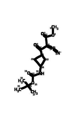 COC(=O)C(=[N+]=[N-])C(=O)C1CC(NC(=O)OC(C)(C)C)C1